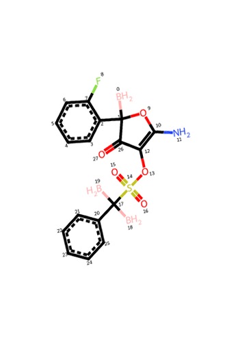 BC1(c2ccccc2F)OC(N)=C(OS(=O)(=O)C(B)(B)c2ccccc2)C1=O